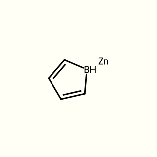 B1C=CC=C1.[Zn]